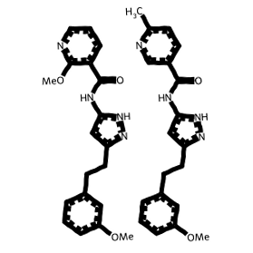 COc1cccc(CCc2cc(NC(=O)c3ccc(C)nc3)[nH]n2)c1.COc1cccc(CCc2cc(NC(=O)c3cccnc3OC)[nH]n2)c1